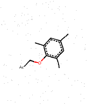 CC(=O)COc1c(C)cc(C)cc1C